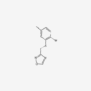 Cc1ccc(Br)c(SCc2ncon2)c1